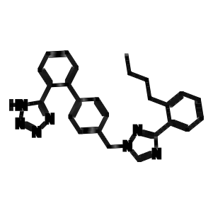 CCCCc1ccccc1-c1ncn(Cc2ccc(-c3ccccc3-c3nnn[nH]3)cc2)n1